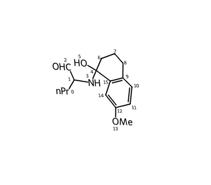 CCCC(C=O)NC1(O)CCCc2ccc(OC)cc21